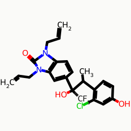 C=CCn1c(=O)n(CC=C)c2cc(C(O)(C(C)c3ccc(O)cc3Cl)C(F)(F)F)ccc21